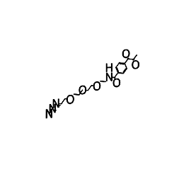 CC(=O)C(=O)c1ccc(C(=O)NCCOCCOCCOCCN=[N+]=[N-])cc1